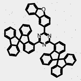 c1ccc2c(c1)-c1ccccc1C21c2ccccc2-c2c(-c3nc(-c4ccc5oc6ccccc6c5c4)nc(-c4cccc5c4-c4ccccc4C54c5ccccc5-c5ccccc54)n3)cccc21